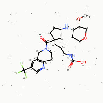 CO[C@@H]1COCC[C@@H]1N[C@@H]1CC[C@](CCCNC(=O)O)(C(=O)N2CCc3ncc(C(F)(F)F)cc3C2)C1